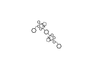 O=C(OCc1ccccc1)[C@H]1CCCN1C(=O)c1ccc(C(=O)N2CCC[C@@H]2C(=O)OCc2ccccc2)cc1